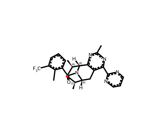 Cc1nc(-c2ncccn2)c2c(n1)[C@H]1[C@H](C)C[C@H](C)[C@@H](C2)N1C(=O)c1cccc(C(F)(F)F)c1C